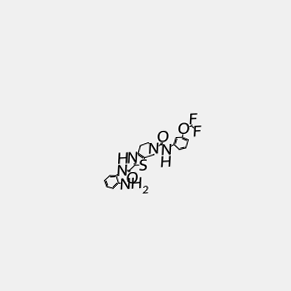 Nc1ccccc1NC(=O)c1nc2c(s1)CN(C(=O)Nc1cccc(OC(F)F)c1)CC2